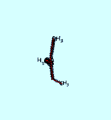 CCCCCCCCCC/C=C\CCCCCCCCCCCCCC(=O)OC(COC(=O)CCCCCCCCCCCCCCCCCCCCCC)COP(=O)(O)OC